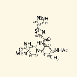 CNC1(C(N)=O)CCN(c2cc(C)c(NC(C)=O)cc2NC(=O)c2csc(-c3cn[nH]c3)n2)CC1